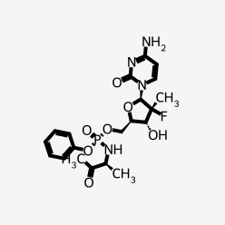 CC(=O)[C@H](C)NP(=O)(OC[C@H]1O[C@@H](n2ccc(N)nc2=O)[C@](C)(F)[C@@H]1O)Oc1ccccc1